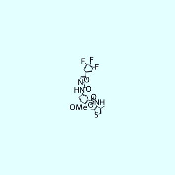 COc1ccc(NC(=O)c2ncc(-c3cc(F)c(F)c(F)c3)o2)cc1S(=O)(=O)Nc1c(C)csc1C